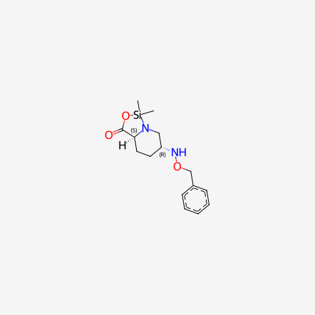 C[Si]1(C)OC(=O)[C@@H]2CC[C@@H](NOCc3ccccc3)CN21